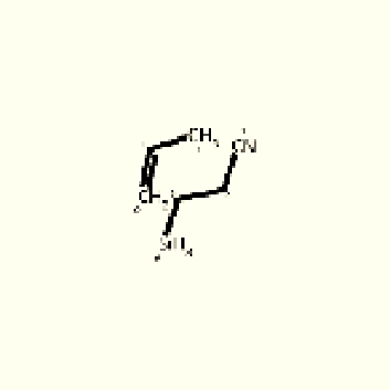 C=CC.N#CCC[SiH3]